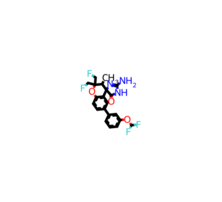 CC1C(CF)(CF)Oc2ccc(-c3cccc(OC(F)F)c3)cc2C12N=C(N)NC2=O